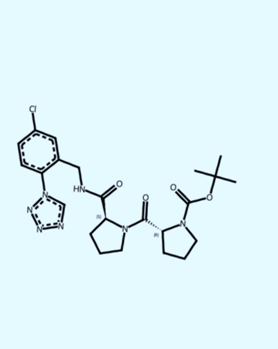 CC(C)(C)OC(=O)N1CCC[C@@H]1C(=O)N1CCC[C@H]1C(=O)NCc1cc(Cl)ccc1-n1cnnn1